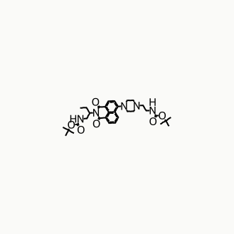 CCC(CNC(=O)OC(C)(C)C)N1C(=O)c2cccc3c(N4CCN(CCNC(=O)OC(C)(C)C)CC4)ccc(c23)C1=O